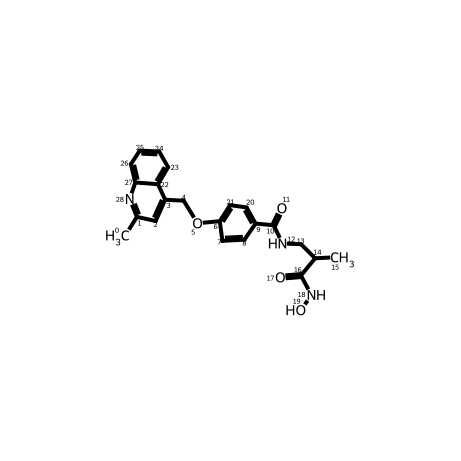 Cc1cc(COc2ccc(C(=O)NCC(C)C(=O)NO)cc2)c2ccccc2n1